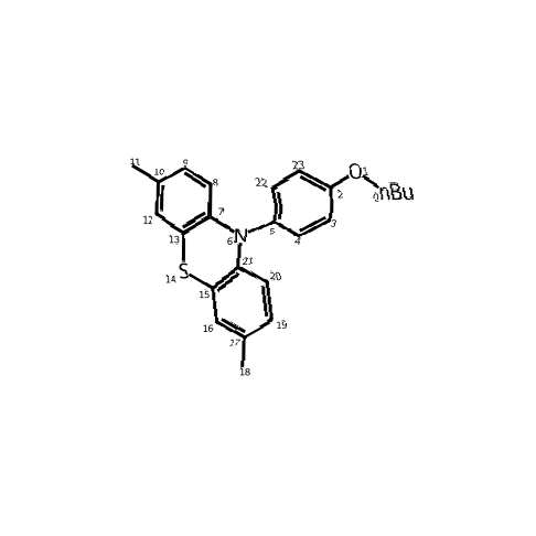 CCCCOc1ccc(N2c3ccc(C)cc3Sc3cc(C)ccc32)cc1